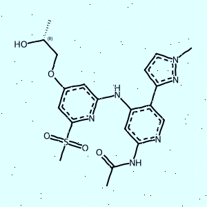 CC(=O)Nc1cc(Nc2cc(OC[C@@H](C)O)cc(S(C)(=O)=O)n2)c(-c2ccn(C)n2)cn1